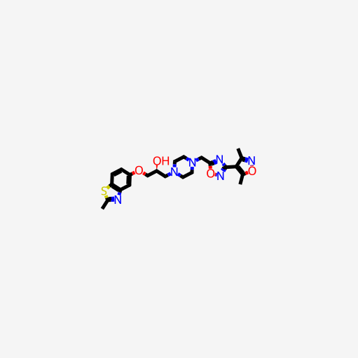 Cc1nc2cc(OC[C@H](O)CN3CCN(Cc4nc(-c5c(C)noc5C)no4)CC3)ccc2s1